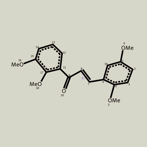 COc1ccc(OC)c(/C=C/C(=O)c2cccc(OC)c2OC)c1